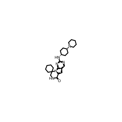 O=C1NCC2(CCCCC2)n2c1cc1cnc(N[C@H]3CC[C@H](N4CCCCC4)CC3)nc12